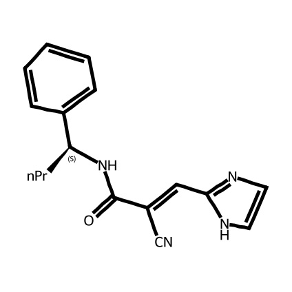 CCC[C@H](NC(=O)C(C#N)=Cc1ncc[nH]1)c1ccccc1